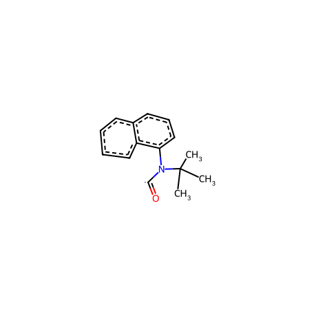 CC(C)(C)N([C]=O)c1cccc2ccccc12